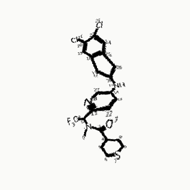 CN(C(=O)C1CCSCC1)C(c1ccc(NC2Cc3cc(Cl)c(Cl)cc3C2)cn1)C(F)(F)F